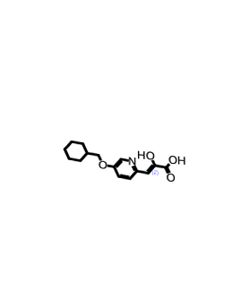 O=C(O)/C(O)=C/c1ccc(OCC2CCCCC2)cn1